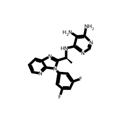 C[C@H](Nc1ncnc(N)c1N)c1nc2cccnc2n1-c1cc(F)cc(F)c1